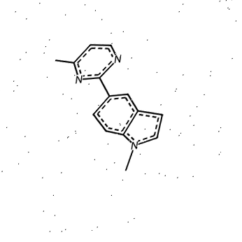 Cc1ccnc(-c2ccc3c(ccn3C)c2)n1